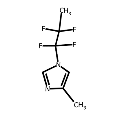 Cc1cn(C(F)(F)C(C)(F)F)cn1